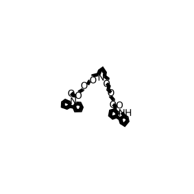 O=C(OCCOCCOCc1cccc(COCCOCCOC(=O)n2c3ccccc3c3ccccc32)n1)c1cccc2c1[nH]c1ccccc12